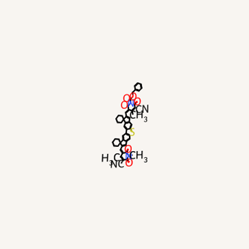 CC1=C(C#N)C(=O)N(C)C(=O)/C1=C\C1=Cc2cc3sc4cc5c(cc4c3cc2C12CCCCC2)C1(CCCCC1)C(/C=C1/C(=O)N(C(=O)OCc2ccccc2)C(=O)C(C#N)=C1C)=C5